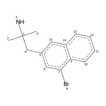 CC(C)([NH])Cc1cc(Br)c2ccccc2c1